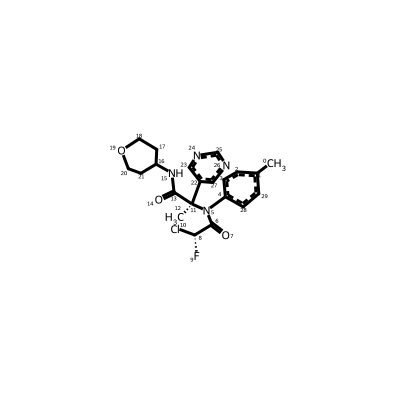 Cc1ccc(N(C(=O)[C@H](F)Cl)[C@@](C)(C(=O)NC2CCOCC2)c2cncnc2)cc1